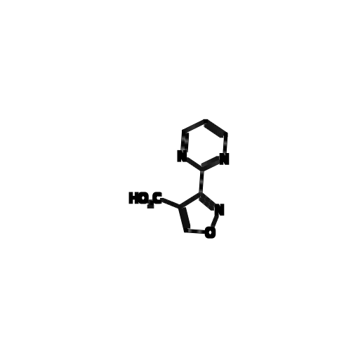 O=C(O)c1conc1-c1ncccn1